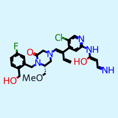 C=C/C(=C\N1CC(=O)N(Cc2cc(F)ccc2CO)[C@@H](COC)C1)c1cc(N/C(O)=C/C=N)ncc1Cl